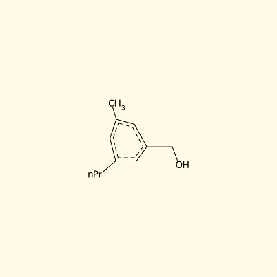 CCCc1cc(C)cc(CO)c1